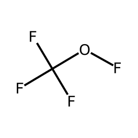 FOC(F)(F)F